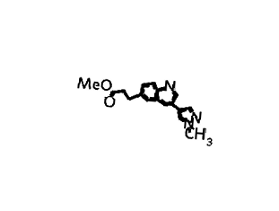 COC(=O)CCc1ccc2ncc(-c3cnn(C)c3)cc2c1